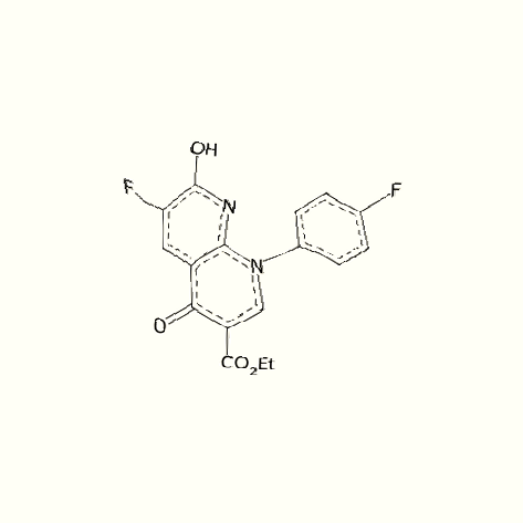 CCOC(=O)c1cn(-c2ccc(F)cc2)c2nc(O)c(F)cc2c1=O